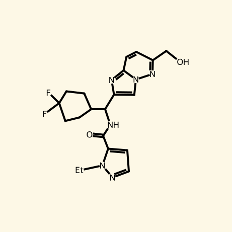 CCn1nccc1C(=O)NC(c1cn2nc(CO)ccc2n1)C1CCC(F)(F)CC1